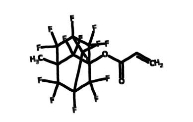 C=CC(=O)OC12C(F)(F)C3(C)C(F)(F)C(F)(C(F)(F)C(F)(C3(F)F)C1(F)F)C2(F)F